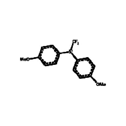 COc1ccc([S+](c2ccc(OC)cc2)C(F)(F)F)cc1